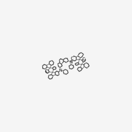 c1ccc(N(c2ccc3c(c2)C2(c4ccccc4-3)c3ccccc3C3(c4ccccc4-c4ccccc43)c3ccccc32)c2ccc3ccc4ccc(N(c5ccccc5)c5ccc6c(c5)C5(c7ccccc7-6)c6ccccc6C6(c7ccccc7-c7ccccc76)c6ccccc65)cc4c3c2)cc1